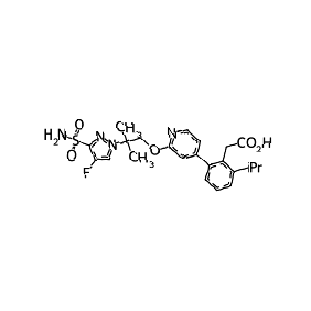 CC(C)c1cccc(-c2ccnc(OCC(C)(C)n3cc(F)c(S(N)(=O)=O)n3)c2)c1CC(=O)O